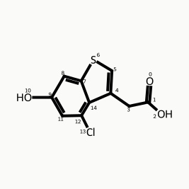 O=C(O)Cc1csc2cc(O)cc(Cl)c12